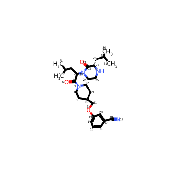 CC(C)CC(C(=O)N1CCC(COc2cccc(C#N)c2)CC1)N1CCN[C@@H](CC(C)C)C1=O